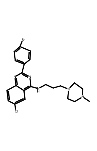 CN1CCN(CCCNc2nc(-c3ccc(Br)cc3)nc3ccc(Cl)cc23)CC1